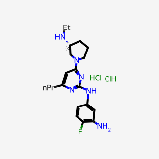 CCCc1cc(N2CCC[C@@H](NCC)C2)nc(Nc2ccc(F)c(N)c2)n1.Cl.Cl